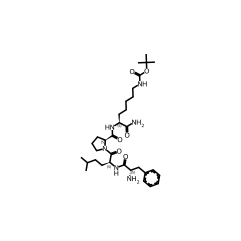 CC(C)CC[C@H](NC(=O)[C@@H](N)Cc1ccccc1)C(=O)N1CCC[C@H]1C(=O)N[C@@H](CCCCCNC(=O)OC(C)(C)C)C(N)=O